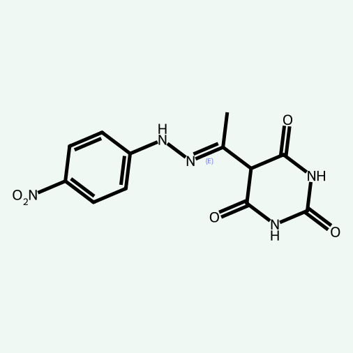 C/C(=N\Nc1ccc([N+](=O)[O-])cc1)C1C(=O)NC(=O)NC1=O